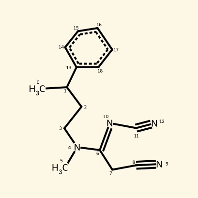 CC(CCN(C)C(CC#N)=NC#N)c1ccccc1